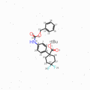 CC(C)(C)OC(=O)C1(c2ccc(NC(=O)OCc3ccccc3)cc2)CCC(F)(F)CC1